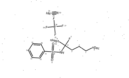 CCCCCCCCCCCCCC(F)(CCCCCCC)NS(=O)(=O)c1ccccc1.F[B-](F)(F)F.N#[NH+]